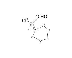 CC1(C(Cl)C=O)CCCCC1